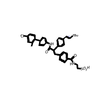 Cc1cc(Cl)ccc1-c1ccc(NC(=O)C(Cc2ccc(C(=O)NCCS(=O)(=O)O)cc2)c2ccc(/C=C/C(C)(C)C)cc2)cc1